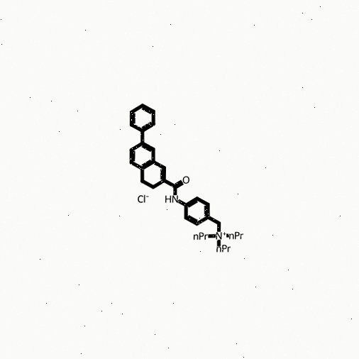 CCC[N+](CCC)(CCC)Cc1ccc(NC(=O)C2=Cc3cc(-c4ccccc4)ccc3CC2)cc1.[Cl-]